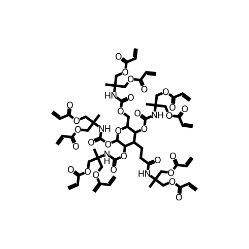 C=CC(=C)OCC(C)(COC(=O)C=C)NC(=O)OC1C(OC(=O)NC(C)(COC(=O)C=C)COC(=O)C=C)OC(COC(=O)NC(C)(COC(=O)C=C)COC(=O)C=C)C(OC(=O)NC(C)(COC(=O)C=C)COC(=O)C=C)C1CCC(=O)NC(C)(COC(=O)C=C)COC(=O)C=C